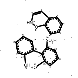 C1=Cc2ccccc2ON1.O=S(=O)(O)c1cccc(O)c1-c1ccccc1O